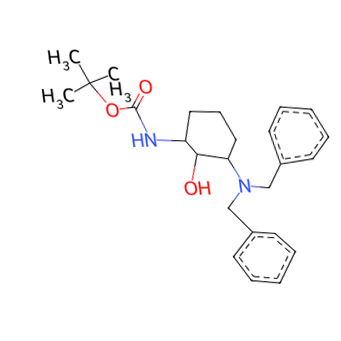 CC(C)(C)OC(=O)NC1CCCC(N(Cc2ccccc2)Cc2ccccc2)C1O